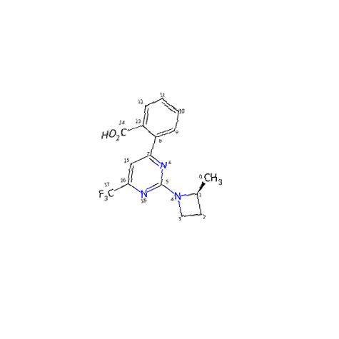 C[C@H]1CCN1c1nc(-c2ccccc2C(=O)O)cc(C(F)(F)F)n1